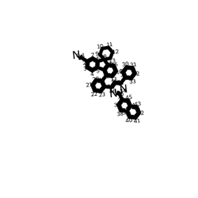 N#Cc1ccc2c(c1)C1(CCCCC1)c1cccc(-c3ccccc3-c3cc(-c4ccccc4)nc(-c4ccc5ccccc5c4)n3)c1-2